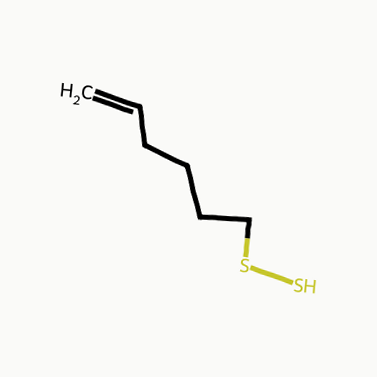 C=CCCCCSS